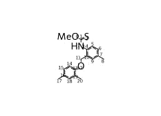 COC(=S)Nc1ccc(C)cc1COc1ccc(C)cc1C